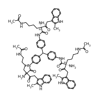 CC(=O)NCCCC[C@@](N)(C(=O)Cc1c(C)[nH]c2ccccc12)C(=O)Nc1ccc(C(c2ccc(NC(=O)[C@@](N)(CCCCNC(C)=O)C(=O)Cc3c(C)[nH]c4ccccc34)cc2)c2ccc(NC(=O)[C@@](N)(CCCCNC(C)=O)C(=O)Cc3c(C)[nH]c4ccccc34)cc2)cc1